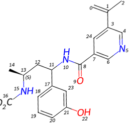 C=C(C)c1cncc(C(=O)NC(C[C@H](C)NC(=O)O)c2cccc(O)c2)c1